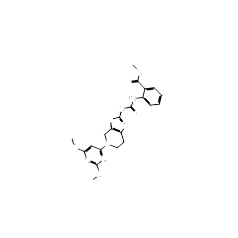 CNC(=O)c1ccccc1NC(=O)Nc1nc2c(s1)CN(c1cc(OC)nc(OC)n1)CC2